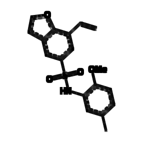 C=Cc1cc(S(=O)(=O)Nc2cc(C)ccc2OC)cc2ccoc12